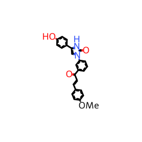 COc1ccc(C=CC(=O)c2cccc(-n3cc(-c4ccc(O)cc4)[nH]c3=O)c2)cc1